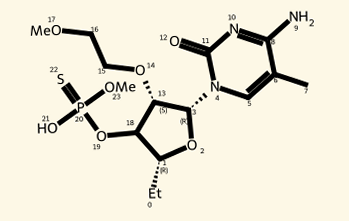 CC[C@H]1O[C@@H](n2cc(C)c(N)nc2=O)[C@@H](OCCOC)C1OP(O)(=S)OC